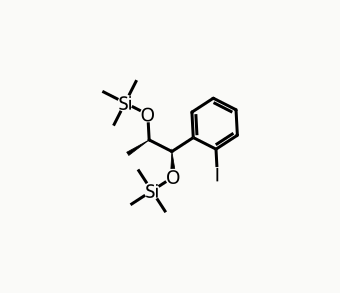 C[C@@H](O[Si](C)(C)C)[C@H](O[Si](C)(C)C)c1ccccc1I